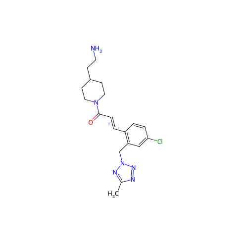 Cc1nnn(Cc2cc(Cl)ccc2/C=C/C(=O)N2CCC(CCN)CC2)n1